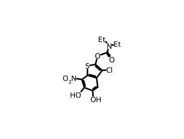 CCN(CC)C(=O)Oc1sc2c([N+](=O)[O-])c(O)c(O)cc2c1Cl